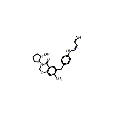 Cc1cc2c(cc1Cc1ccc(N/C=C\C=N)cc1)C(=O)N([C@H]1CCC[C@@H]1O)CO2